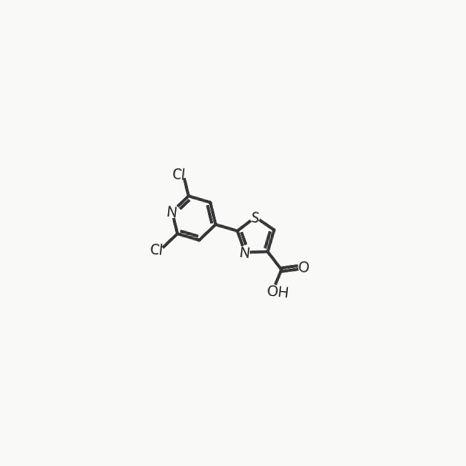 O=C(O)c1csc(-c2cc(Cl)nc(Cl)c2)n1